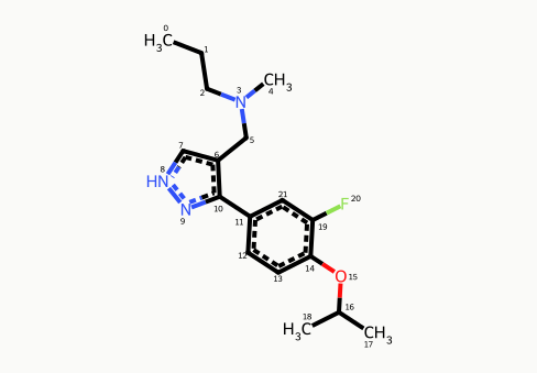 CCCN(C)Cc1c[nH]nc1-c1ccc(OC(C)C)c(F)c1